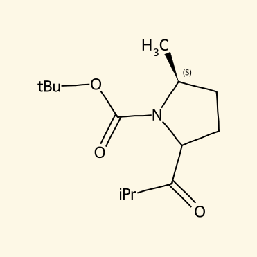 CC(C)C(=O)C1CC[C@H](C)N1C(=O)OC(C)(C)C